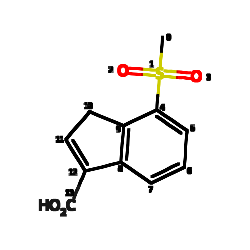 CS(=O)(=O)c1cccc2c1CC=C2C(=O)O